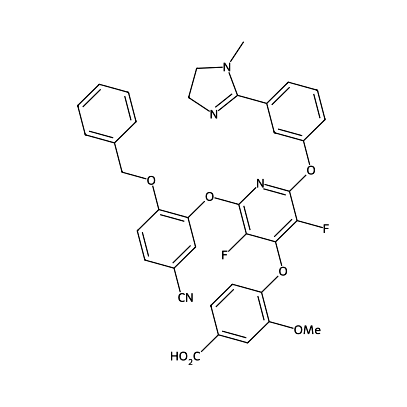 COc1cc(C(=O)O)ccc1Oc1c(F)c(Oc2cccc(C3=NCCN3C)c2)nc(Oc2cc(C#N)ccc2OCc2ccccc2)c1F